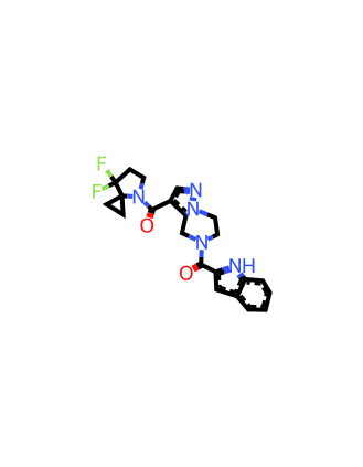 O=C(c1cc2ccccc2[nH]1)N1CCn2ncc(C(=O)N3CCC(F)(F)C34CC4)c2C1